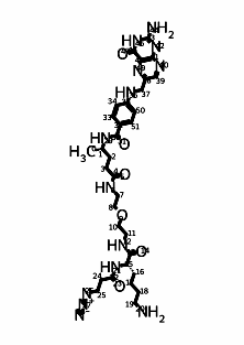 C[C@H](CCC(=O)NCCOCCNC(=O)[C@H](CCCCN)NC(=O)CCN=[N+]=[N-])NC(=O)c1ccc(NCc2cnc3nc(N)[nH]c(=O)c3n2)cc1